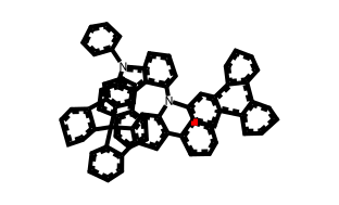 c1ccc(-c2cc3c(cc2N(c2ccc4c5ccccc5c5ccccc5c4c2)c2cccc4c2c2c5ccccc5ccc2n4-c2ccccc2)C2(c4ccccc4-c4ccccc42)c2ccccc2-3)cc1